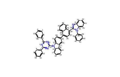 c1ccc(-c2nc(-c3ccccc3)nc(-n3c4ccccc4c4cc(-c5ccc(-c6nc7ccccc7n6-c6ccccc6)c6ccccc56)ccc43)n2)cc1